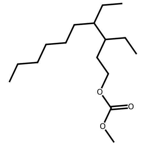 CCCCCCC(CC)C(CC)CCOC(=O)OC